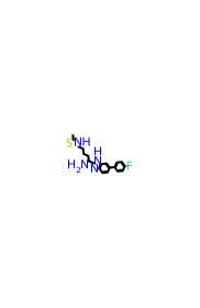 CC(=S)NCCCC[C@H](N)c1nc2ccc(-c3ccc(F)cc3)cc2[nH]1